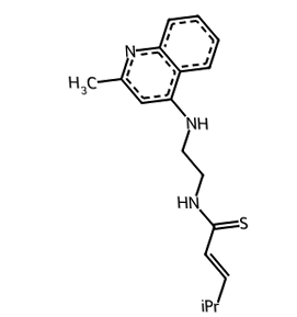 Cc1cc(NCCNC(=S)/C=C/C(C)C)c2ccccc2n1